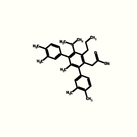 CCCc1c(CC(=O)O)c(-c2ccc(C)c(C)c2)c(C)c(-c2ccc(C)c(C)c2)c1N(C)C